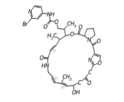 CC1=C\C(O)CC(=O)Cc2nc(co2)C(=O)N2CCCC2C(=O)OC(C(C)COC(=O)Nc2ccnc(Br)c2)C(C)/C=C/C(=O)NC\C=C\1